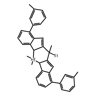 CCC1(C)C2=Cc3c(-c4cccc(C)c4)cccc3[CH]2[Hf]([CH3])([CH3])[CH]2C1=Cc1c(-c3cccc(C)c3)cccc12